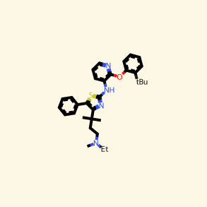 CCN(C)CCC(C)(C)c1nc(Nc2cccnc2Oc2ccccc2C(C)(C)C)sc1-c1ccccc1